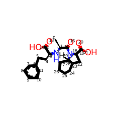 C[C@H](N[C@@H](CCc1ccccc1)C(=O)O)C(=O)N1C(C(=O)O)CC2CCCC[C@@H]21